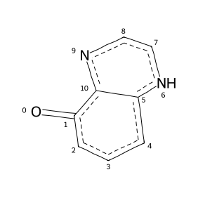 O=c1cccc2[nH]ccnc1-2